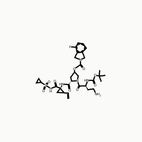 C=CC1C[C@]1(NC(=O)[C@@H]1CC(OC(=O)N2Cc3cccc(F)c3C2)CN1C(=O)[C@H](CCN)NC(=O)OC(C)(C)C)C(=O)NS(=O)(=O)C1CC1